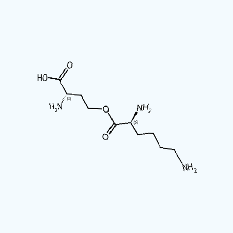 NCCCC[C@H](N)C(=O)OCC[C@H](N)C(=O)O